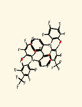 Fc1c(F)c(F)c(N(c2ccccc2-c2ccccc2N(c2c(F)c(F)c(F)c(F)c2F)c2c(F)c(F)c(C(F)(F)F)c(F)c2F)c2c(F)c(F)c(C(F)(F)F)c(F)c2F)c(F)c1F